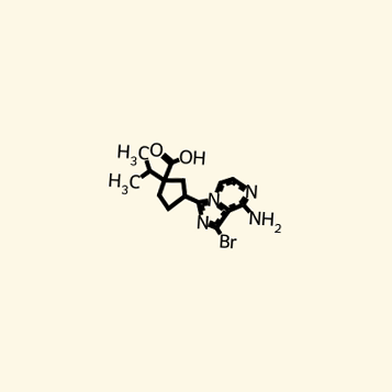 CC(C)C1(C(=O)O)CCC(c2nc(Br)c3c(N)nccn23)C1